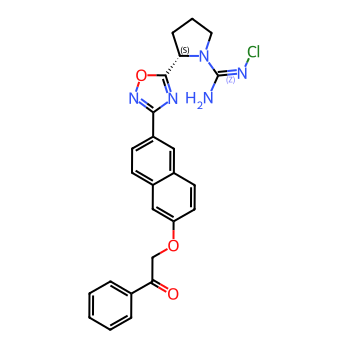 N/C(=N/Cl)N1CCC[C@H]1c1nc(-c2ccc3cc(OCC(=O)c4ccccc4)ccc3c2)no1